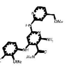 CNC(=O)c1c(Nc2cccc(C#N)c2OC)cc(Nc2cc(COC)ccn2)nc1N